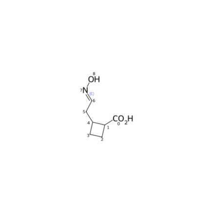 O=C(O)C1CCC1C/C=N/O